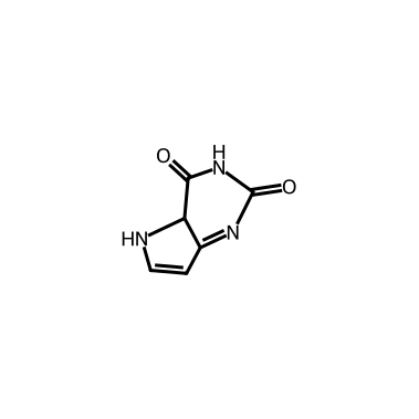 O=C1N=C2C=CNC2C(=O)N1